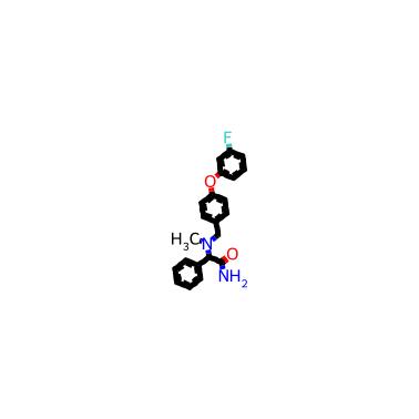 CN(Cc1ccc(Oc2cccc(F)c2)cc1)C(C(N)=O)c1ccccc1